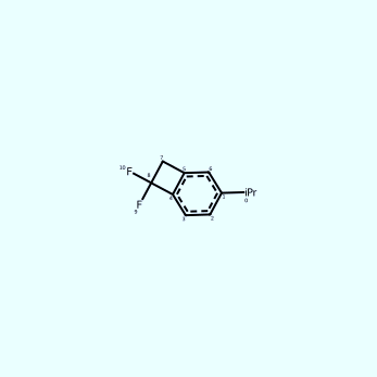 CC(C)c1ccc2c(c1)CC2(F)F